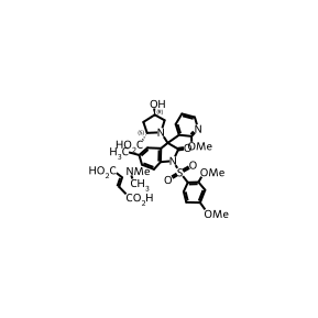 CNC.COc1ccc(S(=O)(=O)N2C(=O)C(c3cccnc3OC)(N3C[C@H](O)C[C@H]3C(=O)O)c3cc(C)ccc32)c(OC)c1.O=C(O)C=CC(=O)O